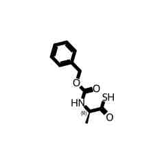 C[C@@H](NC(=O)OCc1ccccc1)C(=O)S